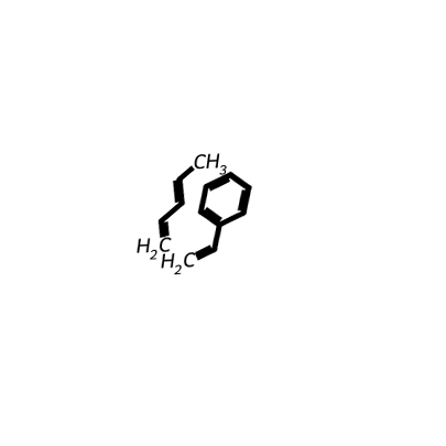 C=CC=CC.C=Cc1ccccc1